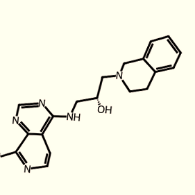 O[C@H](CNc1ncnc2c(Cl)nccc12)CN1CCc2ccccc2C1